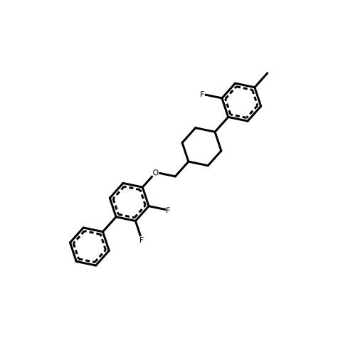 Cc1ccc(C2CCC(COc3ccc(-c4ccccc4)c(F)c3F)CC2)c(F)c1